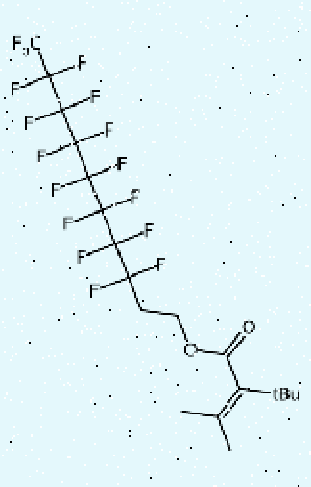 CC(C)=C(C(=O)OCCC(F)(F)C(F)(F)C(F)(F)C(F)(F)C(F)(F)C(F)(F)C(F)(F)C(F)(F)F)C(C)(C)C